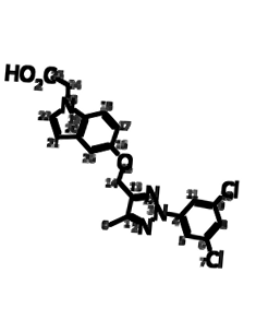 Cc1nn(-c2cc(Cl)cc(Cl)c2)nc1COc1ccc2c(ccn2CC(=O)O)c1